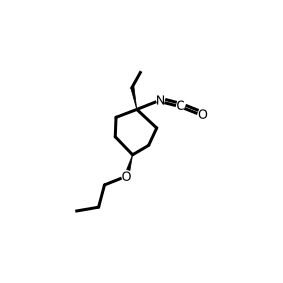 CCCO[C@H]1CC[C@](CC)(N=C=O)CC1